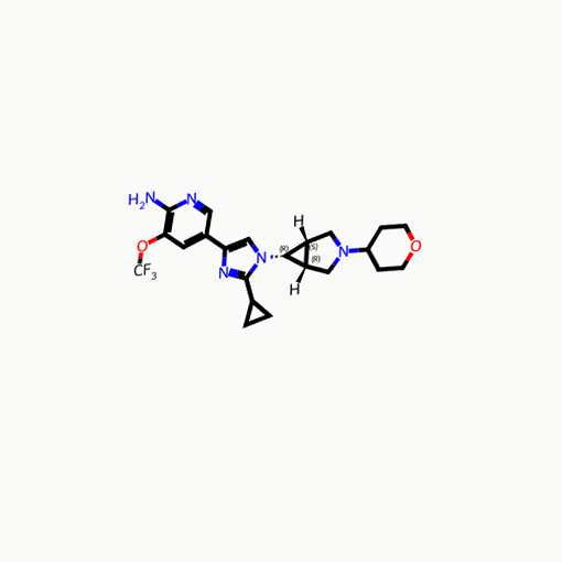 Nc1ncc(-c2cn([C@@H]3[C@@H]4CN(C5CCOCC5)C[C@@H]43)c(C3CC3)n2)cc1OC(F)(F)F